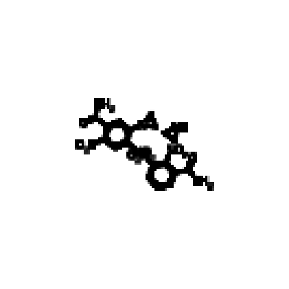 C1CN1.NC(=O)c1cc(N2CC2)c([N+](=O)[O-])cc1[N+](=O)[O-].NC(=O)c1cccc([N+](=O)[O-])c1[N+](=O)[O-]